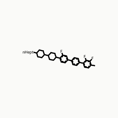 CCCCCCCC1CCC(C2CCC(c3ccc(-c4ccc(-c5ccc(C)c(F)c5F)cc4)cc3F)CC2)CC1